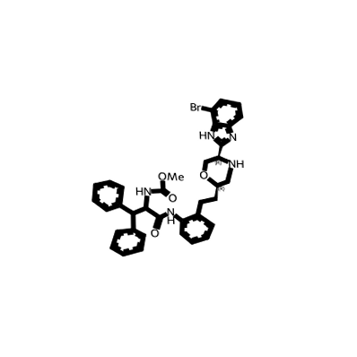 COC(=O)NC(C(=O)Nc1ccccc1CC[C@@H]1CN[C@H](c2nc3cccc(Br)c3[nH]2)CO1)C(c1ccccc1)c1ccccc1